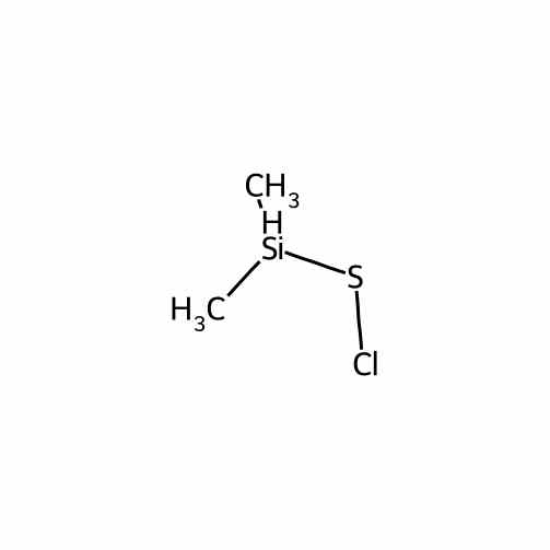 C[SiH](C)SCl